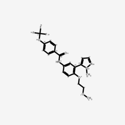 COCCOc1ccc(NC(=O)c2ccc(OC(F)(F)F)cc2)cc1-c1ccnn1C